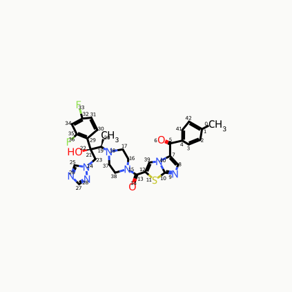 Cc1ccc(C(=O)c2cnc3sc(C(=O)N4CCN([C@H](C)[C@](O)(Cn5cncn5)c5ccc(F)cc5F)CC4)cn23)cc1